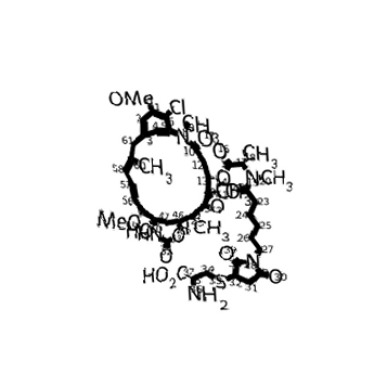 COc1cc2cc(c1Cl)N(C)C(=O)C[C@H](OC(=O)[C@H](C)N(C)C(=O)CCCCCN1C(=O)CC(SC[C@H](N)C(=O)O)C1=O)[C@]1(C)OC1[C@H](C)[C@@H]1C[C@@](O)(NC(=O)O1)[C@H](OC)/C=C/C=C(\C)C2